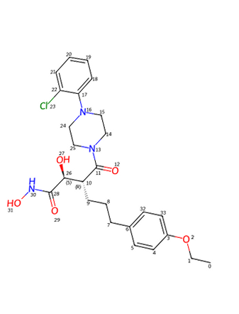 CCOc1ccc(CCC[C@@H](C(=O)N2CCN(c3ccccc3Cl)CC2)[C@H](O)C(=O)NO)cc1